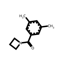 Cc1cc(C)cc(C(=O)N2CCC2)c1